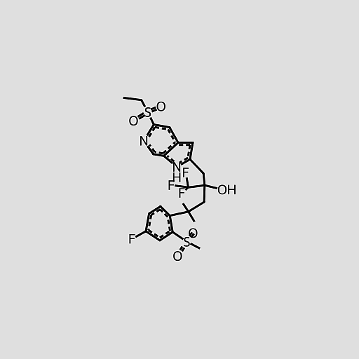 CCS(=O)(=O)c1cc2cc(CC(O)(CC(C)(C)c3ccc(F)cc3S(C)(=O)=O)C(F)(F)F)[nH]c2cn1